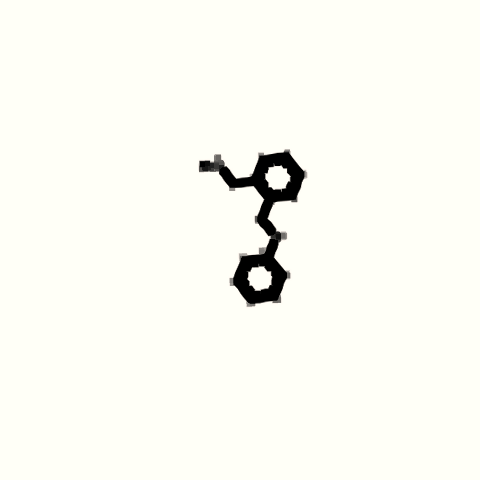 COCc1ccccc1COc1ccccc1